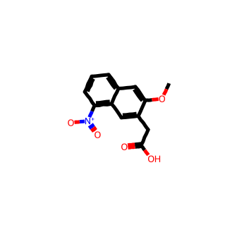 COc1cc2cccc([N+](=O)[O-])c2cc1CC(=O)O